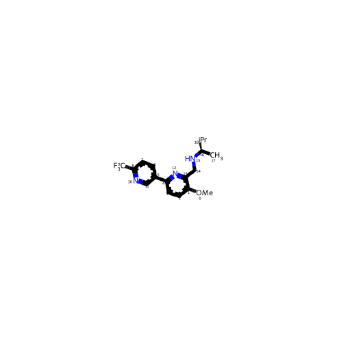 COc1ccc(-c2ccc(C(F)(F)F)nc2)nc1CN[C@H](C)C(C)C